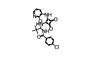 COc1ncccc1Nc1c(NC(NC(=O)c2ccc(Cl)cc2)C(C)(C)C)c(=O)c1=O